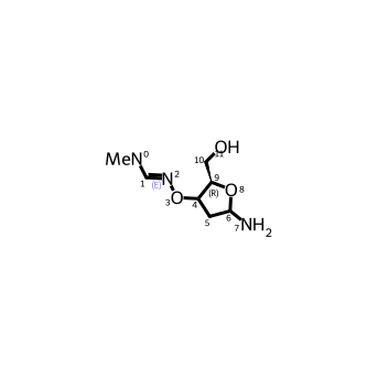 CN/C=N/OC1CC(N)O[C@@H]1CO